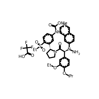 CCOc1cc([C@@H](C(=O)N2CCC[C@@H]2c2cc(NC(=O)OC)ccc2S(=O)(=O)CC)N(N)c2ccc3cnccc3c2)ccc1OC(C)C.O=C(O)C(F)(F)F